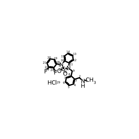 CNCc1ccccc1CN1c2ccccc2N(c2cccc(F)c2F)S1(=O)=O.Cl